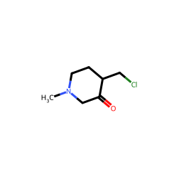 CN1CCC(CCl)C(=O)C1